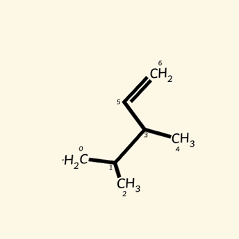 [CH2]C(C)C(C)C=C